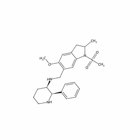 COc1cc2c(cc1CN[C@@H]1CCCN[C@@H]1c1ccccc1)N(S(C)(=O)=O)C(C)C2